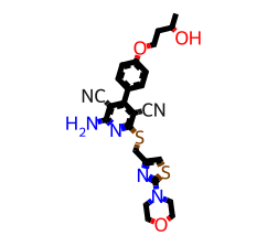 CC(O)CCOc1ccc(-c2c(C#N)c(N)nc(SCc3csc(N4CCOCC4)n3)c2C#N)cc1